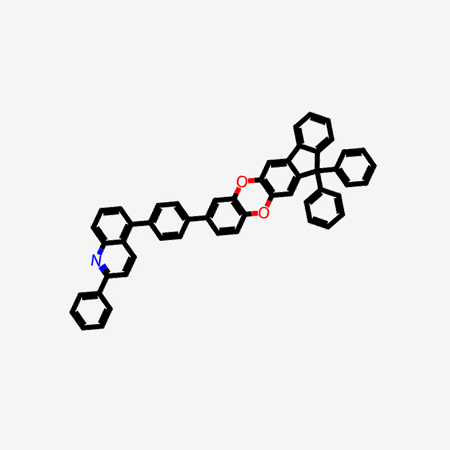 c1ccc(-c2ccc3c(-c4ccc(-c5ccc6c(c5)Oc5cc7c(cc5O6)C(c5ccccc5)(c5ccccc5)c5ccccc5-7)cc4)cccc3n2)cc1